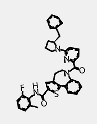 Cc1cccc(F)c1NC(=O)c1cc2c(s1)-c1ccccc1N(C(=O)c1cccc(N3CCC[C@H]3Cc3ccccc3)n1)CC2